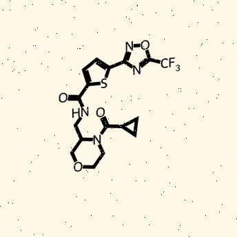 O=C(NCC1COCCN1C(=O)C1CC1)c1ccc(-c2noc(C(F)(F)F)n2)s1